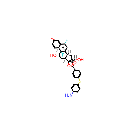 C[C@]12C[C@H](O)[C@@]3(F)[C@@H](C[C@H](F)C4=CC(=O)C=C[C@@]43C)[C@@H]1C[C@H]1O[C@@H](c3ccc(Sc4ccc(N)cc4)cc3)OC12C(=O)CO